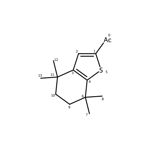 CC(=O)c1cc2c(s1)C(C)(C)CCC2(C)C